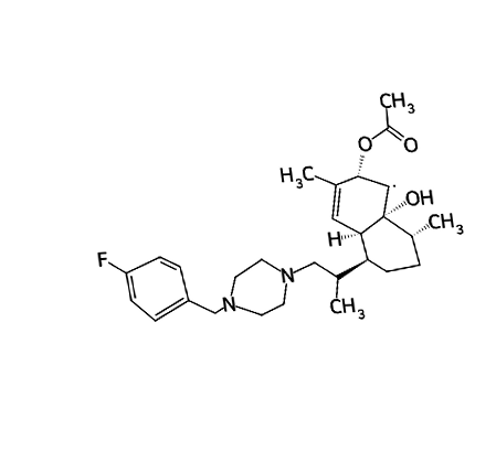 CC(=O)O[C@@H]1[CH][C@@]2(O)[C@H](C)CC[C@@H](C(C)CN3CCN(Cc4ccc(F)cc4)CC3)[C@H]2C=C1C